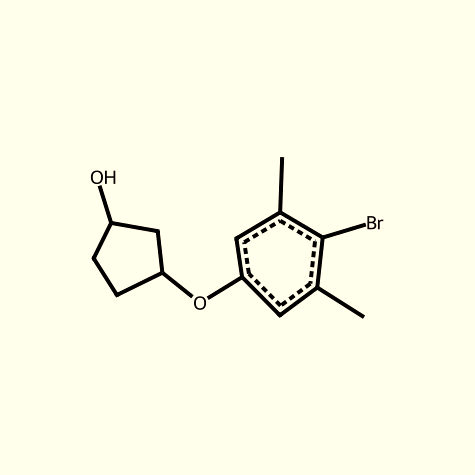 Cc1cc(OC2CCC(O)C2)cc(C)c1Br